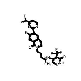 CC(CCCn1ccc2cc(-c3nccc(C(F)F)n3)c(F)cc2c1=O)Nc1cn[nH]c(=O)c1C(F)(F)F